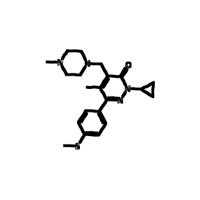 CSc1ccc(-c2nn(C3CC3)c(=O)c(CN3CCN(C)CC3)c2C)cc1